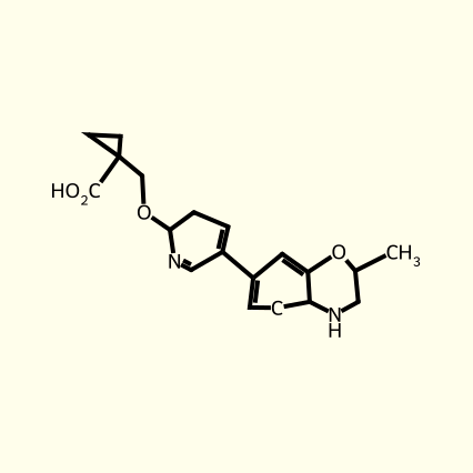 CC1CNC2CC=C(C3=CCC(OCC4(C(=O)O)CC4)N=C3)C=C2O1